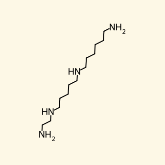 NCCCCCCNCCCCCNCCN